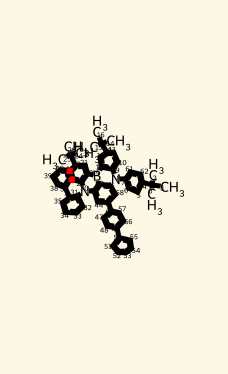 CC(C)(C)c1ccc(N2c3ccc(C(C)(C)C)cc3B3c4cc(C(C)(C)C)ccc4N(c4ccccc4-c4ccccc4)c4cc(-c5ccc(-c6ccccc6)cc5)cc2c43)cc1